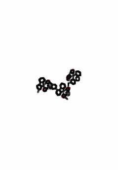 Cc1ccc2c(c1)C1(c3ccccc3-2)c2ccccc2-n2c3cc(-c4cccc5c4-c4ccccc4C54c5cc(Cc6ccc7c(c6)C6(c8ccccc8O7)c7ccccc7-c7ccccc76)ccc5Oc5c(C)cccc54)ccc3c3cccc1c32